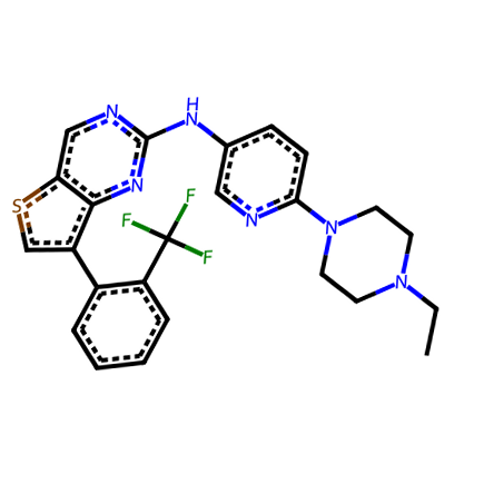 CCN1CCN(c2ccc(Nc3ncc4scc(-c5ccccc5C(F)(F)F)c4n3)cn2)CC1